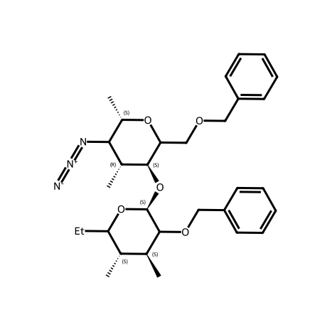 CCC1O[C@@H](O[C@@H]2C(COCc3ccccc3)O[C@@H](C)C(N=[N+]=[N-])[C@H]2C)C(OCc2ccccc2)[C@@H](C)[C@@H]1C